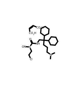 CN(C)CCCC(CNC(=O)N(CCCl)N=O)(C1CCCCC1)C1CCCCC1.O=C(O)/C=C\C(=O)O